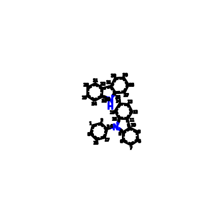 c1ccc(-n2c3ccccc3c3ccccc32)cc1.c1ccc2c(c1)[nH]c1ccccc12